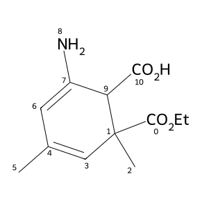 CCOC(=O)C1(C)C=C(C)C=C(N)C1C(=O)O